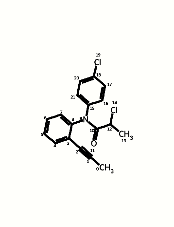 CC#Cc1ccccc1N(C(=O)C(C)Cl)c1ccc(Cl)cc1